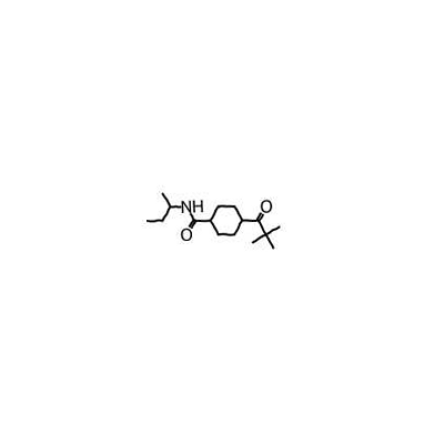 CCC(C)NC(=O)C1CCC(C(=O)C(C)(C)C)CC1